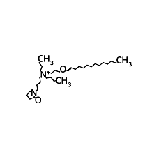 CCCCCCCCCCCCC=COCCCC[N+](CCCC)(CCCC)CCCCN1CCCC1=O